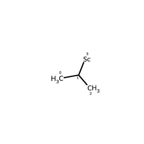 C[CH](C)[Sc]